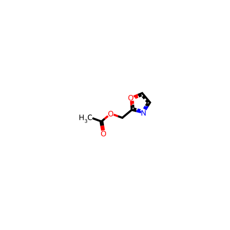 CC(=O)OCc1ncco1